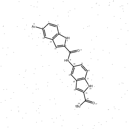 CC(=O)c1ccc2[nH]c(C(=O)Nc3ccc4[nH]c(C(=O)C(C)(C)C)cc4c3)cc2c1